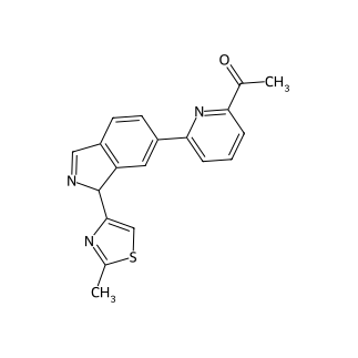 CC(=O)c1cccc(-c2ccc3c(c2)C(c2csc(C)n2)N=C3)n1